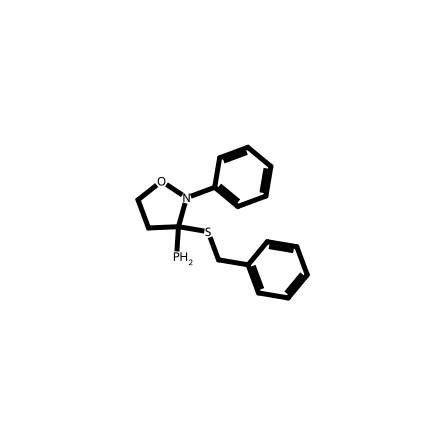 PC1(SCc2ccccc2)CCON1c1ccccc1